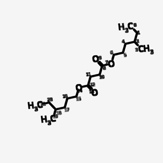 CCC(C)CCCOC(=O)CCC(=O)OCCCC(C)CC